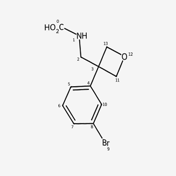 O=C(O)NCC1(c2cccc(Br)c2)COC1